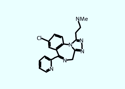 CNCCc1nnc2n1-c1ccc(Cl)cc1C(c1ccccn1)=NC2